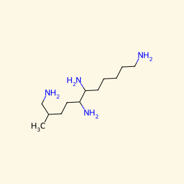 CC(CN)CCC(N)C(N)CCCCCN